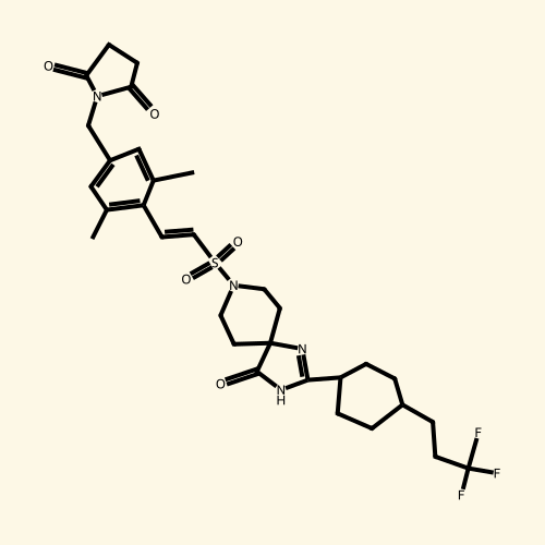 Cc1cc(CN2C(=O)CCC2=O)cc(C)c1C=CS(=O)(=O)N1CCC2(CC1)N=C(C1CCC(CCC(F)(F)F)CC1)NC2=O